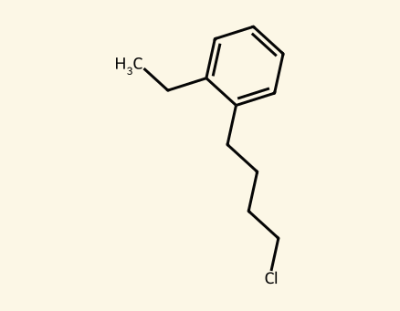 CCc1ccccc1CCCCCl